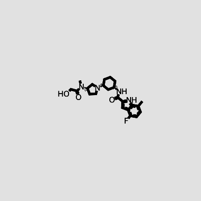 Cc1ccc(F)c2cc(C(=O)N[C@@H]3CCC[C@@H](N4CC[C@H](N(C)C(=O)CO)C4)C3)[nH]c12